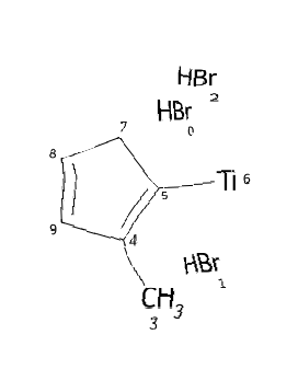 Br.Br.Br.CC1=[C]([Ti])CC=C1